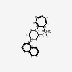 CC1CN(c2cccc3ccccc23)CCN1C1=CC=CC=CC1C=O